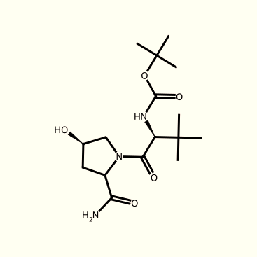 CC(C)(C)OC(=O)N[C@H](C(=O)N1C[C@H](O)CC1C(N)=O)C(C)(C)C